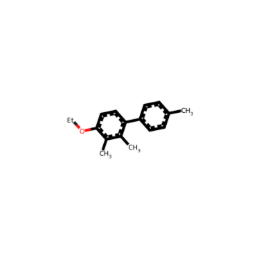 CCOc1ccc(-c2ccc(C)cc2)c(C)c1C